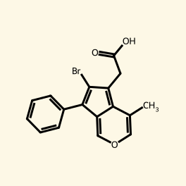 Cc1cocc2c(-c3ccccc3)c(Br)c(CC(=O)O)c1-2